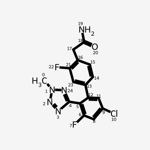 Cn1nnc(-c2c(F)cc(Cl)cc2-c2ccc(CC(N)=O)c(F)c2)n1